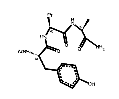 CC(=O)N[C@@H](Cc1ccc(O)cc1)C(=O)N[C@H](C(=O)N[C@@H](C)C(N)=O)C(C)C